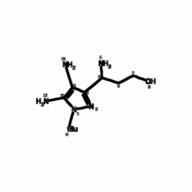 CC(C)(C)n1nc(C(N)CCO)c(N)c1N